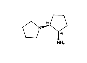 N[C@@H]1CCC[C@@H]1N1CCCC1